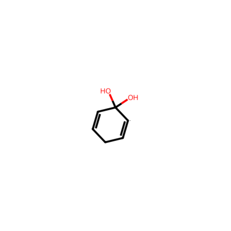 OC1(O)[C]=CCC=C1